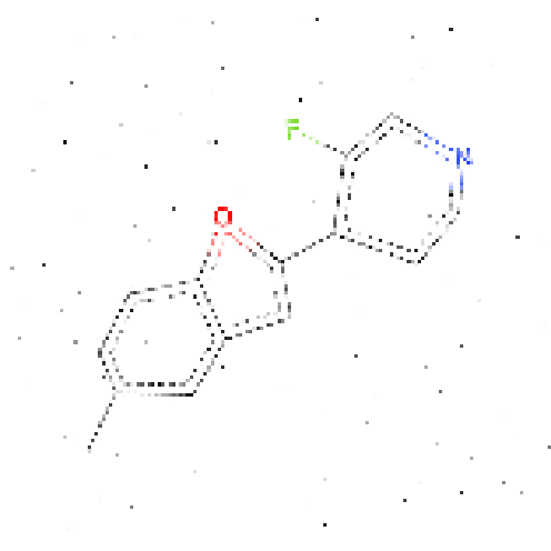 Cc1ccc2oc(-c3ccncc3F)cc2c1